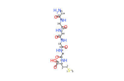 CSCCC(NC(=O)CNC(=O)CNC(=O)CNC(=O)CNC(=O)CN)C(=O)O